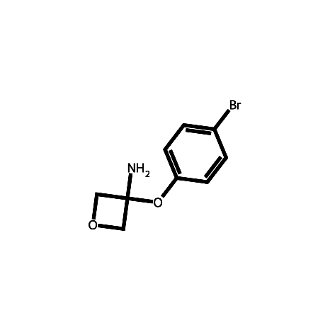 NC1(Oc2ccc(Br)cc2)COC1